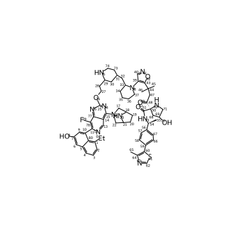 CCc1cccc2cc(O)cc(-c3ncc4c(N5CC6CCC(C5)N6)nc(OCCC5CC(CC6CCCCN6c6cnoc6C(C)(C)CC(=O)[C@@]6(C(=O)N[C@@H](C)c7ccc(-c8scnc8C)cc7)CC(O)CN6)CCN5)nc4c3F)c12